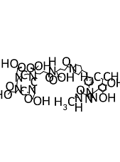 CCNC(=O)c1nnc(-c2cc(C(C)C)c(O)cc2O)n1-c1ccc(CC2CCN(C(=O)CCC(NC(=O)CCC(C(=O)O)N3CCN(CC(=O)O)CCN(CC(=O)O)CCN(CC(=O)O)CC3)C(=O)O)CC2)cc1